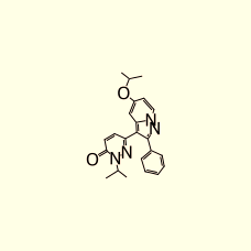 CC(C)Oc1ccn2nc(-c3ccccc3)c(-c3ccc(=O)n(C(C)C)n3)c2c1